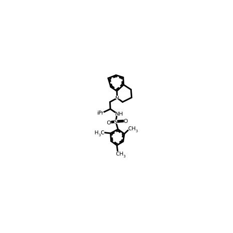 Cc1cc(C)c(S(=O)(=O)NC(CN2CCCc3ccccc32)C(C)C)c(C)c1